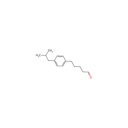 CC(C)Cc1ccc(CCCCC=O)cc1